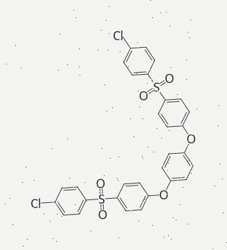 O=S(=O)(c1ccc(Cl)cc1)c1ccc(Oc2ccc(Oc3ccc(S(=O)(=O)c4ccc(Cl)cc4)cc3)cc2)cc1